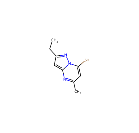 CCc1cc2nc(C)cc(S)n2n1